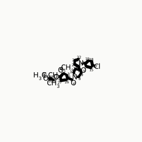 COc1cc(C(=O)N2CCC3(CC2)Oc2cc(Cl)ccc2-n2cccc23)ccc1OCC(C)(C)OC